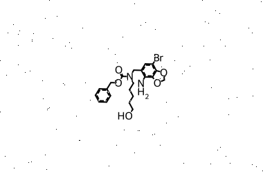 Nc1c(CN(CCCCCO)C(=O)OCc2ccccc2)cc(Br)c2c1OCO2